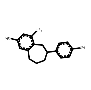 Oc1ccc(C2CCCc3cc(O)cc(C(F)(F)F)c3C2)cc1